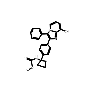 CC(C)(C)OC(=O)NC1(c2ccc(-c3nc4c(C#N)cccn4c3-c3ccccc3)cc2)CCC1